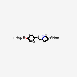 CCCCCCCCCc1ccc(CCc2ccc(OCCCCCCC)cc2)nc1